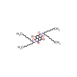 CCCCCCCCCCC(CCCCCCCC)CN1C(=O)c2cc(Br)c3c4c(cc(Br)c(c24)C1=O)C(=O)N(CC(CCCCCCCC)CCCCCCCCCC)C3=O